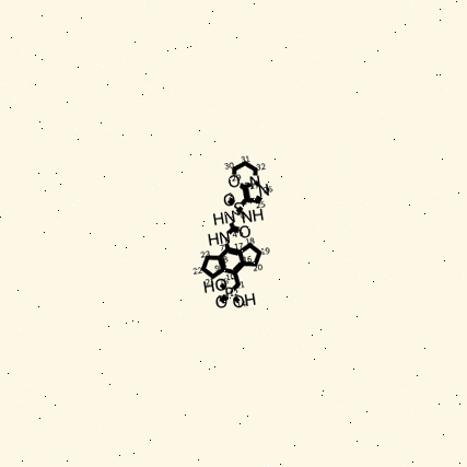 N=S(=O)(NC(=O)Nc1c2c(c(CP(=O)(O)O)c3c1CCC3)CCC2)c1cnn2c1OCCC2